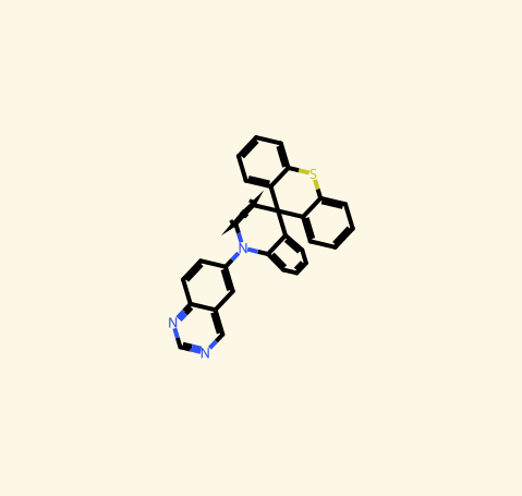 c1ccc2c(c1)Sc1ccccc1C21c2ccccc2N(c2ccc3ncncc3c2)c2ccccc21